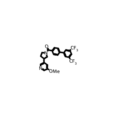 COc1cncc(C2CCN(C(=O)c3ccc(-c4cc(C(F)(F)F)cc(C(F)(F)F)c4)cc3)C2)c1